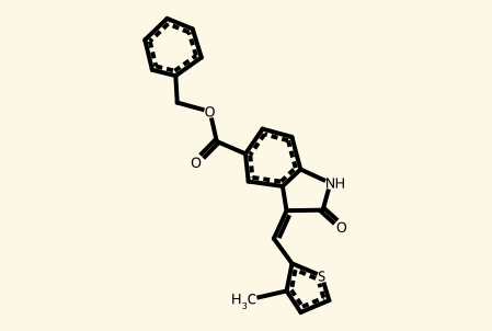 Cc1ccsc1C=C1C(=O)Nc2ccc(C(=O)OCc3ccccc3)cc21